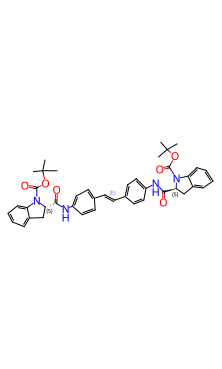 CC(C)(C)OC(=O)N1c2ccccc2C[C@H]1C(=O)Nc1ccc(/C=C/c2ccc(NC(=O)[C@@H]3Cc4ccccc4N3C(=O)OC(C)(C)C)cc2)cc1